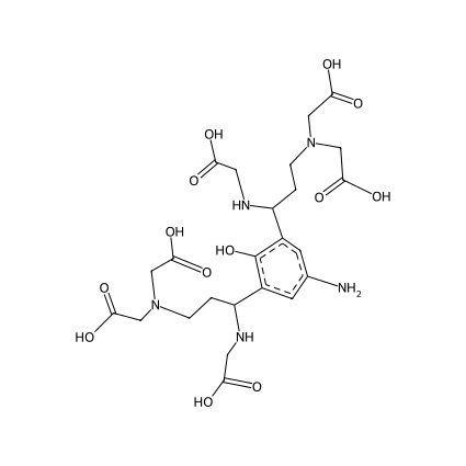 Nc1cc(C(CCN(CC(=O)O)CC(=O)O)NCC(=O)O)c(O)c(C(CCN(CC(=O)O)CC(=O)O)NCC(=O)O)c1